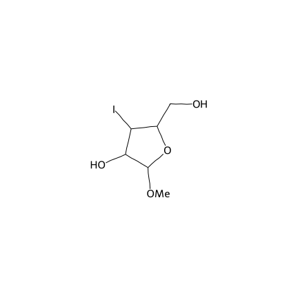 COC1OC(CO)C(I)C1O